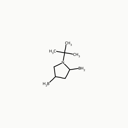 BC1CC(B)N(C(C)(C)C)C1